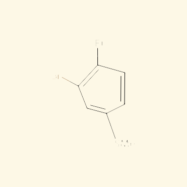 CCc1ccc(SC)cc1Br